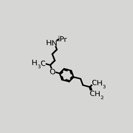 C=C(C)CCc1ccc(OC(C)CCCNC(C)C)cc1